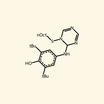 CCCCCCCCSN1C=NC=NC1Nc1cc(C(C)(C)C)c(O)c(C(C)(C)C)c1